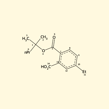 CCCC(C)(C)OC(=O)c1ccc(CC)cc1C(=O)O